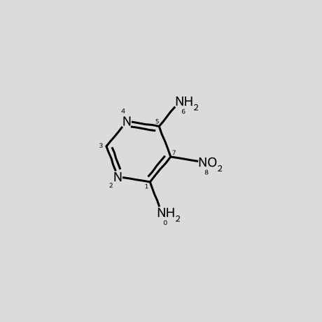 Nc1ncnc(N)c1[N+](=O)[O-]